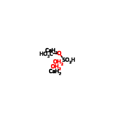 O.O.O=C(O)OS(=O)(=O)O.[CaH2].[CaH2]